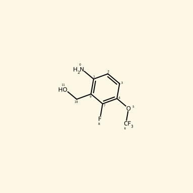 Nc1ccc(OC(F)(F)F)c(F)c1CO